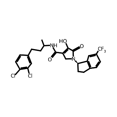 CC(CCc1ccc(Cl)c(Cl)c1)NC(=O)C1=C(O)C(=O)N([C@@H]2CCc3ccc(C(F)(F)F)cc32)C1